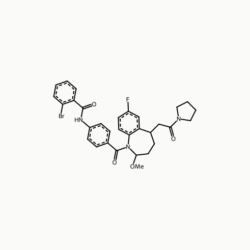 COC1CCC(CC(=O)N2CCCC2)c2cc(F)ccc2N1C(=O)c1ccc(NC(=O)c2ccccc2Br)cc1